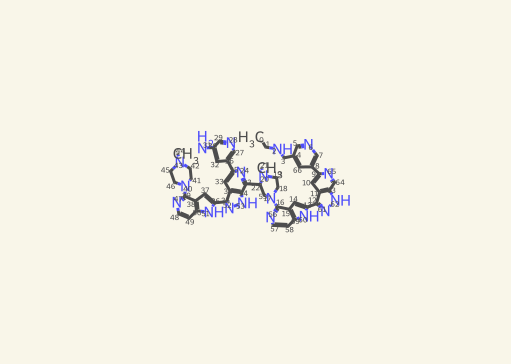 CCNCc1cncc(-c2cc3c(-c4cc5c(N6CCN(C)C(c7nc(-c8cncc(N)c8)cc8c(-c9cc%10c(N%11CCN(C)CC%11)nccc%10[nH]9)n[nH]c78)C6)nccc5[nH]4)n[nH]c3cn2)c1